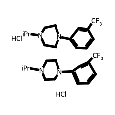 CC(C)N1CCN(c2cccc(C(F)(F)F)c2)CC1.CC(C)N1CCN(c2cccc(C(F)(F)F)c2)CC1.Cl.Cl